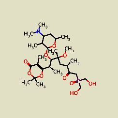 CO[C@](C)(C[C@@H](C)C(=O)CP(=O)(CO)CO)[C@H](O[C@@H]1OC(C)CC(N(C)C)C1C)[C@@H](C)C1=C(C)C(=O)OC(C)(C)O1